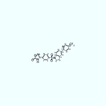 O=c1[nH]c(-c2ccc(S(=O)(=O)N3CCc4cc(-c5ccc(C(F)(F)F)cn5)ccc43)cc2)no1